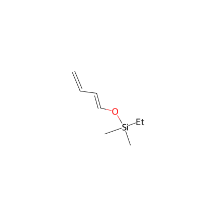 C=C/C=C/O[Si](C)(C)CC